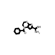 N=C(N)c1cc2c(s1)SCCN2C(=O)c1ccccc1